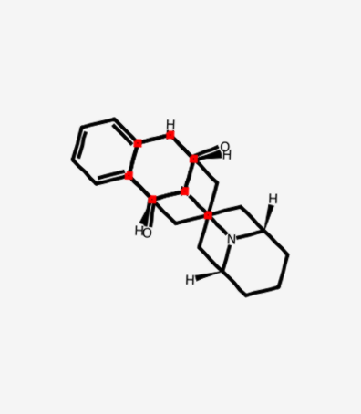 O=c1[nH]c2ccccc2c(=O)n1C1C[C@H]2CCC[C@@H](C1)N2C1C[C@H]2CCC[C@@H](C1)C2